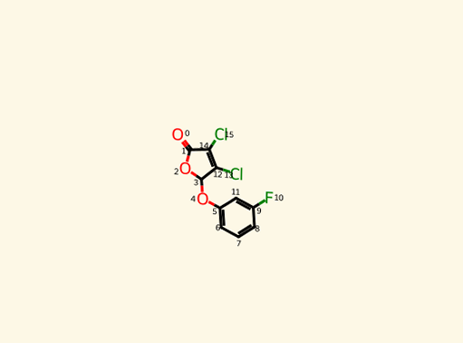 O=C1OC(Oc2cccc(F)c2)C(Cl)=C1Cl